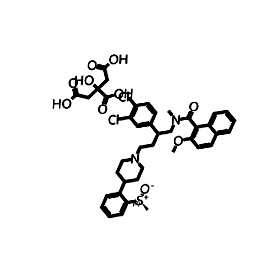 COc1ccc2ccccc2c1C(=O)N(C)CC(CCN1CCC(c2ccccc2[S@+](C)[O-])CC1)c1ccc(Cl)c(Cl)c1.O=C(O)CC(O)(CC(=O)O)C(=O)O